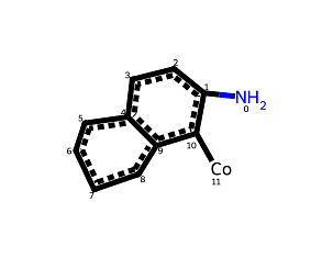 Nc1ccc2ccccc2[c]1[Co]